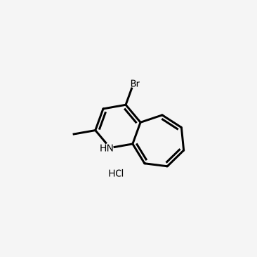 CC1=CC(Br)=C2C=CC=CC=C2N1.Cl